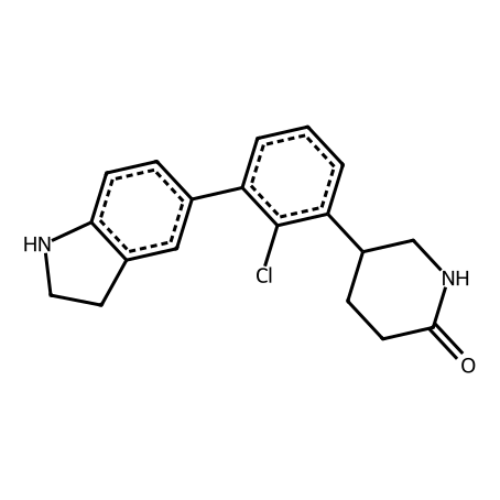 O=C1CCC(c2cccc(-c3ccc4c(c3)CCN4)c2Cl)CN1